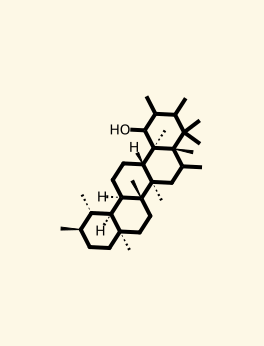 CC1C(C)C(C)(C)[C@]2(C)C(C)C[C@]3(C)[C@H](CC[C@@H]4[C@@H]5[C@@H](C)[C@H](C)CC[C@]5(C)CC[C@]43C)[C@@]2(C)C1O